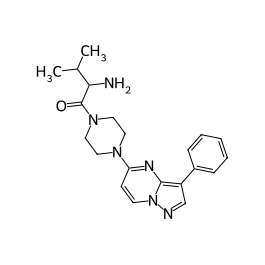 CC(C)C(N)C(=O)N1CCN(c2ccn3ncc(-c4ccccc4)c3n2)CC1